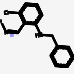 Clc1cccc(NCc2ccccc2)c1/C=N\I